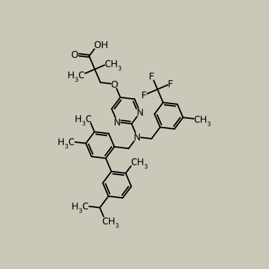 Cc1cc(CN(Cc2cc(C)c(C)cc2-c2cc(C(C)C)ccc2C)c2ncc(OCC(C)(C)C(=O)O)cn2)cc(C(F)(F)F)c1